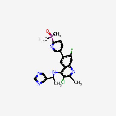 Cc1nc2cc(F)c(-c3ccc(P(C)(C)=O)nc3)cc2c(NC(C)c2cncnc2)c1Cl